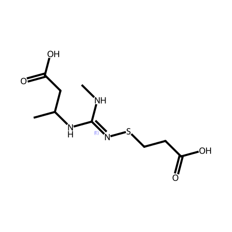 CN/C(=N\SCCC(=O)O)NC(C)CC(=O)O